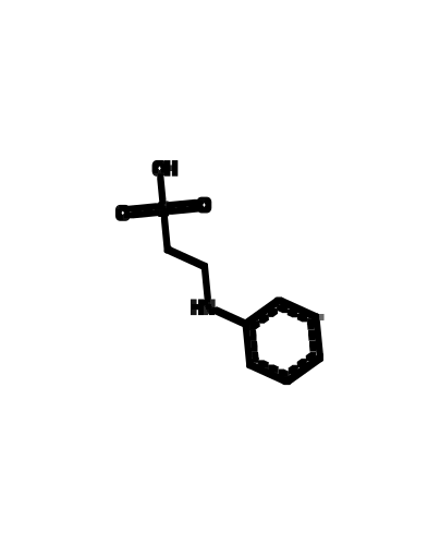 O=S(=O)(O)CCNc1c[c]ccc1